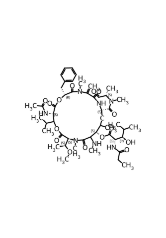 C=C1C(=O)N[C@H](C(=O)N(C)[C@@H](C)C=O)CC(C)[C@H](OC(=O)[C@@H](NC(=O)CC)[C@H](O)C(C)C)C(NC)C(=O)N(C)[C@@H]([C@H](C)OC)C(=O)OC(C(C)C)[C@H](NC(C)=O)C(=O)O[C@H](Cc2ccccc2)C(=O)N1C